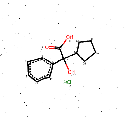 Cl.O=C(O)C(O)(c1ccccc1)C1CCCC1